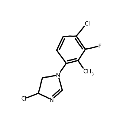 Cc1c(N2C=NC(Cl)C2)ccc(Cl)c1F